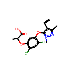 C=Cc1c(C)nn(C)c1Oc1cc(OC(C)C(=O)O)c(Cl)cc1Cl